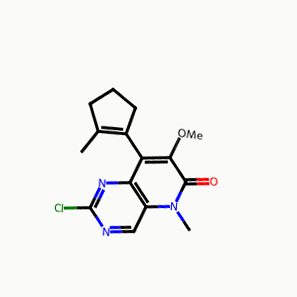 COc1c(C2=C(C)CCC2)c2nc(Cl)ncc2n(C)c1=O